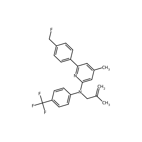 C=C(C)CN(c1ccc(C(F)(F)F)cc1)c1cc(C)cc(-c2ccc(CF)cc2)n1